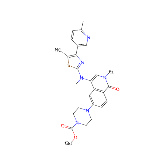 CCn1cc(N(C)c2nc(-c3ccc(C)nc3)c(C#N)s2)c2cc(N3CCN(C(=O)OC(C)(C)C)CC3)ccc2c1=O